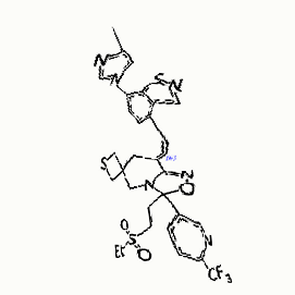 CCS(=O)(=O)CCC1(c2ccc(C(F)(F)F)nc2)ON=C2/C(=C/c3ccc(-n4cnc(C)c4)c4sncc34)CC3(CSC3)CN21